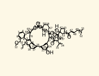 CCn1c(-c2ccccc2COC)c2c3cc(ccc31)-c1cc(O)cc(c1)C[C@H](NC(=O)[C@H](C(C)C)N(C)C(=O)[C@@]1(O)CCN(C(=O)/C=C/CN(C)C)C1)C(=O)N1CCC[C@@](O)(N1)C(=O)OCC(C)(C)C2